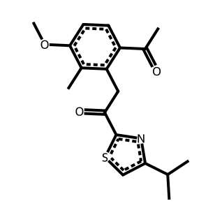 COc1ccc(C(C)=O)c(CC(=O)c2nc(C(C)C)cs2)c1C